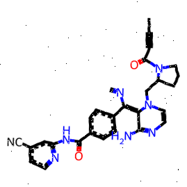 C=N/C(=C1/C(N)=NC=CN1CC1CCCN1C(=O)C#CC)c1ccc(C(=O)Nc2cc(C#N)ccn2)cc1